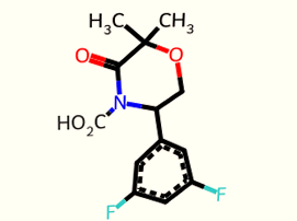 CC1(C)OCC(c2cc(F)cc(F)c2)N(C(=O)O)C1=O